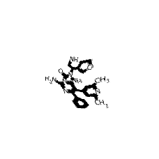 Cc1cc(-c2c(-c3ccccc3)nc(N)[n+]3c(=O)n(C(CN)C4CCOC4)[nH]c23)cc(C)n1